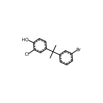 CC(C)(c1cccc(Br)c1)c1ccc(O)c(Cl)c1